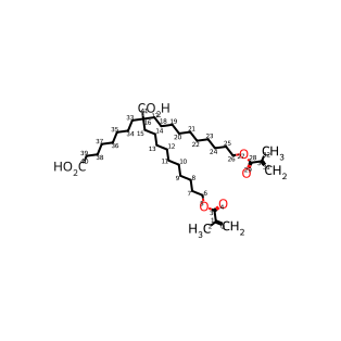 C=C(C)C(=O)OCCCCCCCCCCC(CCCCCCCCCCOC(=O)C(=C)C)(CCCCCCCC(=O)O)C(=O)O